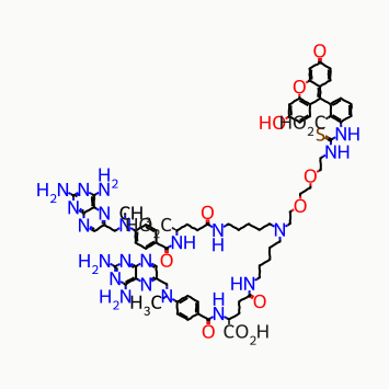 CN(Cc1cnc2nc(N)nc(N)c2n1)c1ccc(C(=O)N[C@@H](CCC(=O)NCCCCCN(CCCCCNC(=O)CC[C@@H](NC(=O)c2ccc(N(C)Cc3cnc4nc(N)nc(N)c4n3)cc2)C(=O)O)CCOCCOCCNC(=S)Nc2cccc(-c3c4ccc(=O)cc-4oc4cc(O)ccc34)c2C(=O)O)C(=O)O)cc1